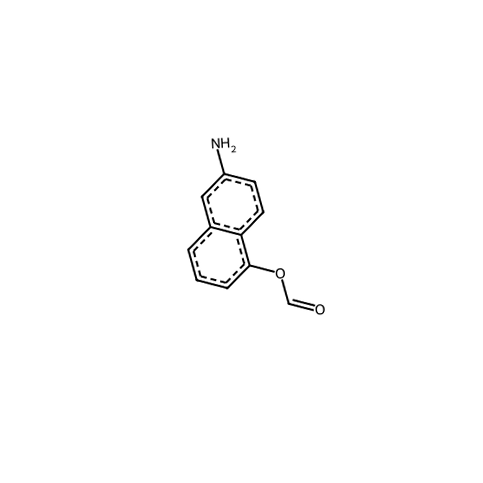 Nc1ccc2c(OC=O)cccc2c1